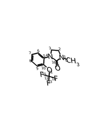 CN1CCN(c2ccccc2OC(F)(F)F)C1=O